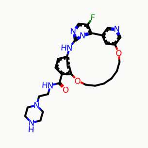 O=C(NCCN1CCNCC1)c1ccc2cc1OCCCCCCOc1cncc(c1)-c1nc(ncc1F)N2